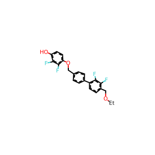 CCOCc1ccc(-c2ccc(COc3ccc(O)c(F)c3F)cc2)c(F)c1F